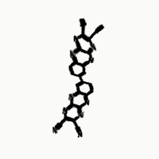 C#Cc1nc2nc3ccc(-c4ccc5nc6nc(C#N)c(C#N)nc6nc5c4)cc3nc2nc1C#C